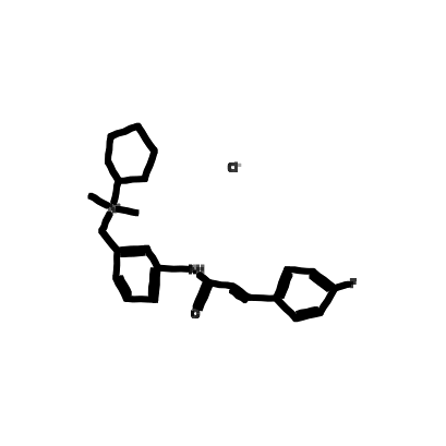 C[N+](C)(Cc1cccc(NC(=O)C=Cc2ccc(F)cc2)c1)C1CCCCC1.[Cl-]